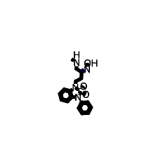 CNC/C(CCN1c2ccccc2N(c2ccccc2)S1(=O)=O)=N\O